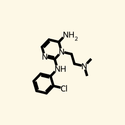 CN(C)CCN1C(Nc2ccccc2Cl)=NC=CC1N